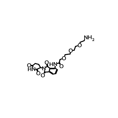 NCCOCCOCCOCC(=O)Nc1cccc2c1C(=O)N(C1CCC(=O)NC1=O)C2=O